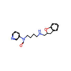 O=CN(CCCCNCC1Cc2ccccc2O1)c1cccnc1